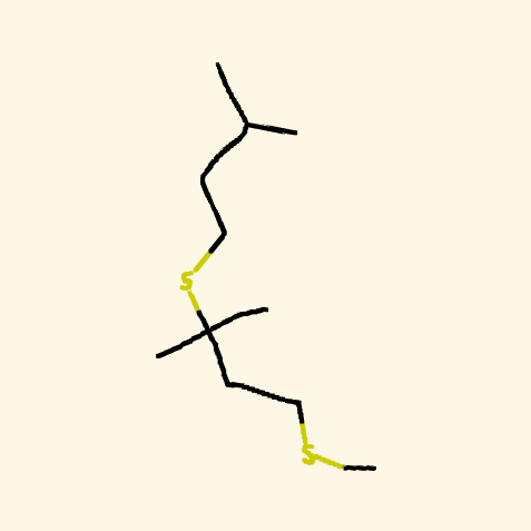 CSCCC(C)(C)SCCC(C)C